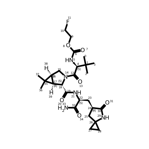 CC(C)(C)[C@H](NC(=O)OCCF)C(=O)N1C[C@H]2[C@@H]([C@H]1C(=O)N[C@@H](C[C@@H]1CC3(CC3)NC1=O)C(N)=O)C2(C)C